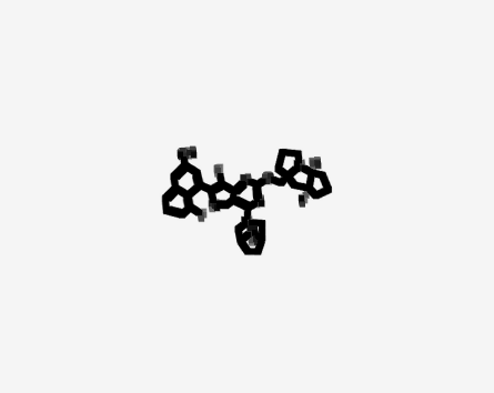 Oc1cc(-c2ncc3c(N4CC5CCC(C4)N5)nc(OC[C@@]45CCCN4[C@H]4CCC[C@@]4(F)C5)nc3c2F)c2c(F)cccc2c1